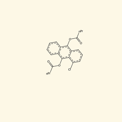 CCCC(=O)Oc1c2ccccc2c(OC(=O)CCC)c2c(Cl)cccc12